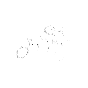 CCN(C(=O)O)[C@@H](C)C(=O)N[C@H](C(=O)N1c2ncccc2C[C@H]1C(=O)Nc1ccccc1)C1CCCCC1